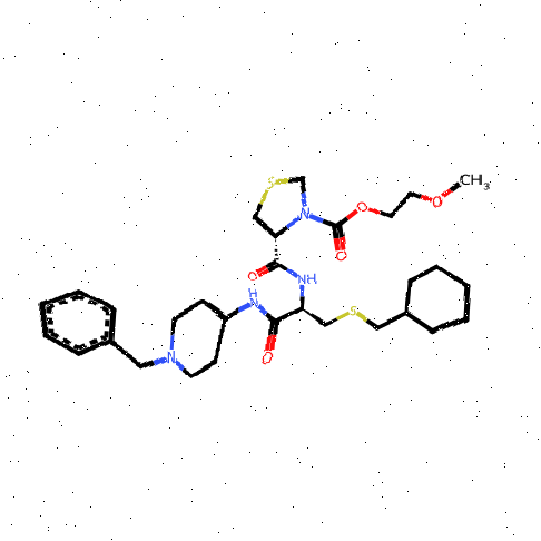 COCCOC(=O)N1CSC[C@H]1C(=O)N[C@@H](CSCC1CCCCC1)C(=O)NC1CCN(Cc2ccccc2)CC1